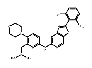 Cc1cccc(C)c1-c1nc2cc(Nc3ccc(N4CCOCC4)c(CN(C)C)n3)ncc2s1